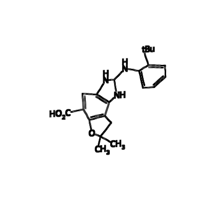 CC1(C)Cc2c3c(cc(C(=O)O)c2O1)NC(Nc1ccccc1C(C)(C)C)N3